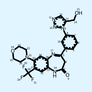 O=C1CC(c2cccc(-n3nncc3CO)c2)=Nc2cc(N3CCOCC3)c(C(F)(F)F)cc2N1